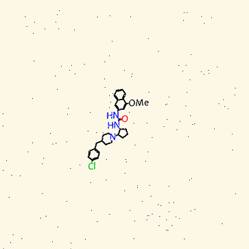 COc1cc(NC(=O)NC2CCCC2N2CCC(Cc3ccc(Cl)cc3)CC2)cc2ccccc12